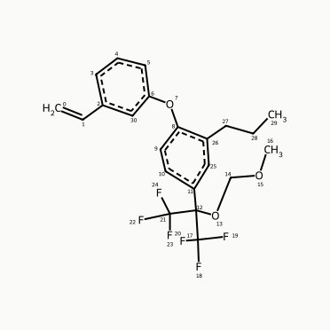 C=Cc1cccc(Oc2ccc(C(OCOC)(C(F)(F)F)C(F)(F)F)cc2CCC)c1